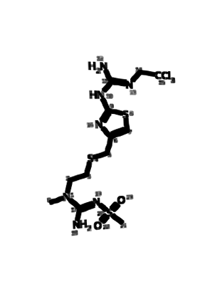 CN(CCSCc1csc(NC(N)=NCC(Cl)(Cl)Cl)n1)C(N)=NS(C)(=O)=O